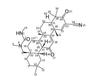 CNC(=O)N(C)C[C@]12CCC(C)(C)C[C@H]1[C@H]1C(=O)C=C3[C@@]4(C)C=C(C#N)C(=O)C(C)(C)[C@@H]4CC[C@@]3(C)[C@]1(C)CC2